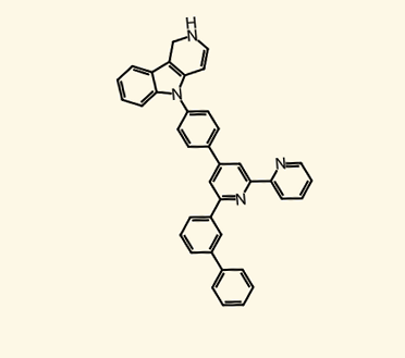 C1=Cc2c(c3ccccc3n2-c2ccc(-c3cc(-c4cccc(-c5ccccc5)c4)nc(-c4ccccn4)c3)cc2)CN1